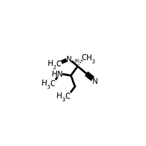 C=N[C@@](C)(C#N)C(CC)NC